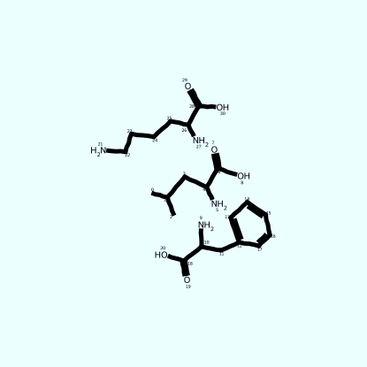 CC(C)CC(N)C(=O)O.NC(Cc1ccccc1)C(=O)O.NCCCCC(N)C(=O)O